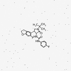 CC(C)(C)N1CC(c2cc3c(cc2F)OCC3)C(NC(=O)Nc2ccc(F)cc2)C1=O